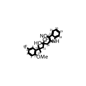 COc1ccc(F)cc1C(C)(C)CC(O)(Cc1[nH]c2ccccc2c1C#N)C(F)(F)F